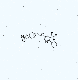 O=S1(=O)CC2(CCN(CCOc3cnc(C4CCCCC4)c(C(F)(F)F)c3)CC2)C1